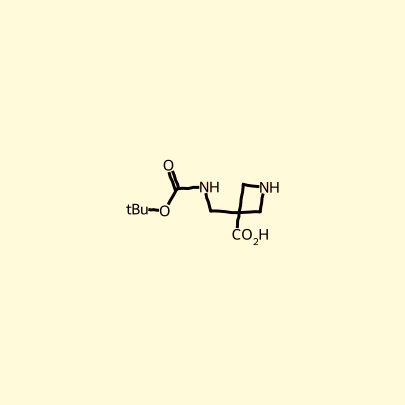 CC(C)(C)OC(=O)NCC1(C(=O)O)CNC1